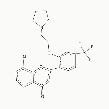 O=c1cc(-c2ccc(C(F)(F)F)cc2OCCN2CCCC2)oc2c(Cl)cccc12